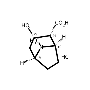 CN1[C@H]2CC[C@@H]1[C@@H](C(=O)O)[C@@H](O)C2.Cl